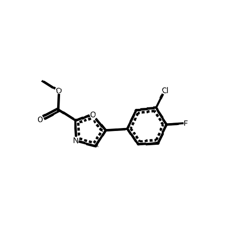 COC(=O)c1n[c]c(-c2ccc(F)c(Cl)c2)o1